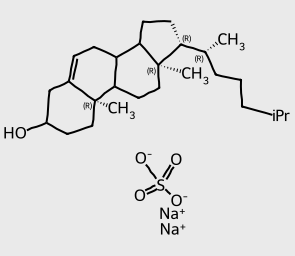 CC(C)CCC[C@@H](C)[C@H]1CCC2C3CC=C4CC(O)CC[C@]4(C)C3CC[C@@]21C.O=S(=O)([O-])[O-].[Na+].[Na+]